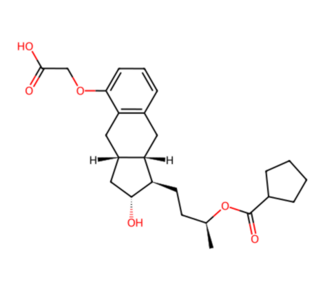 C[C@@H](CC[C@@H]1[C@H]2Cc3cccc(OCC(=O)O)c3C[C@H]2C[C@H]1O)OC(=O)C1CCCC1